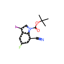 CC(C)(C)OC(=O)n1cc(I)c2cc(F)cc(C#N)c21